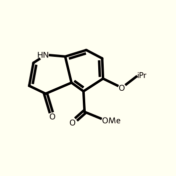 COC(=O)c1c(OC(C)C)ccc2[nH]ccc(=O)c12